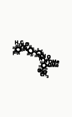 COC(=O)N(c1nc2ccc(-c3ccc(NC(=O)[C@H](C)c4ccc(F)cc4)cc3)cn2n1)c1ccc(S(C)(=O)=O)cc1OC